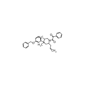 C=CCC1C[C@@](C)(c2cccc(OCc3ccccc3)c2)C(C)CN1C(=O)C(=O)c1ccccc1